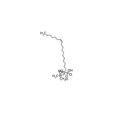 CCCCCC/C=C\CCCCCCCCCCC(O)(C[N+](C)(C)C)P(=O)(O)O